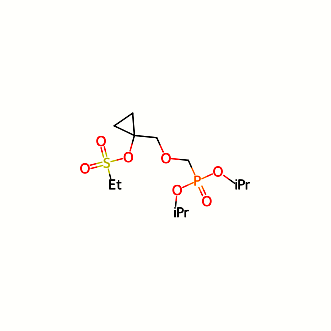 CCS(=O)(=O)OC1(COCP(=O)(OC(C)C)OC(C)C)CC1